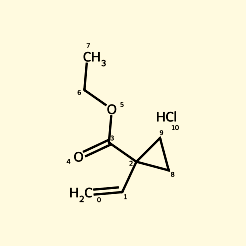 C=CC1(C(=O)OCC)CC1.Cl